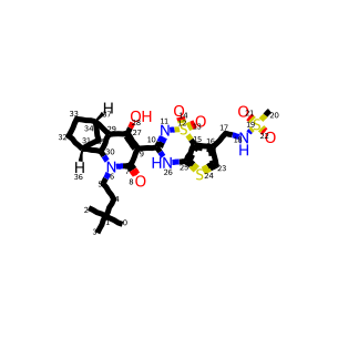 CC(C)(C)CCN1C(=O)C(C2=NS(=O)(=O)c3c(CNS(C)(=O)=O)csc3N2)=C(O)C2C1[C@@H]1CC[C@H]2C1